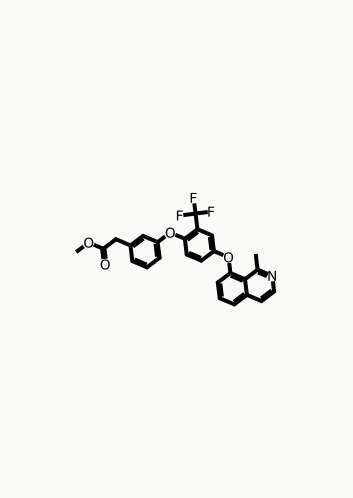 COC(=O)Cc1cccc(Oc2ccc(Oc3cccc4ccnc(C)c34)cc2C(F)(F)F)c1